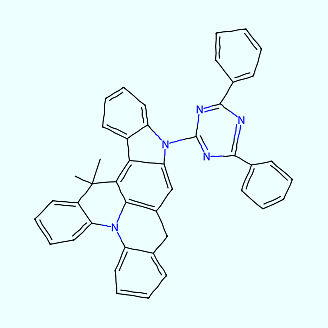 CC1(C)c2ccccc2N2c3ccccc3Cc3cc4c(c1c32)c1ccccc1n4-c1nc(-c2ccccc2)nc(-c2ccccc2)n1